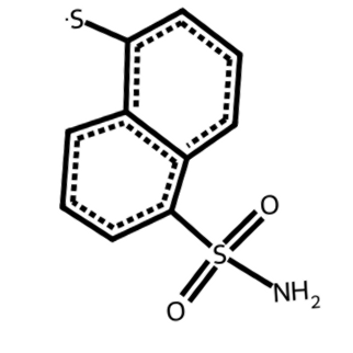 NS(=O)(=O)c1cccc2c([S])cccc12